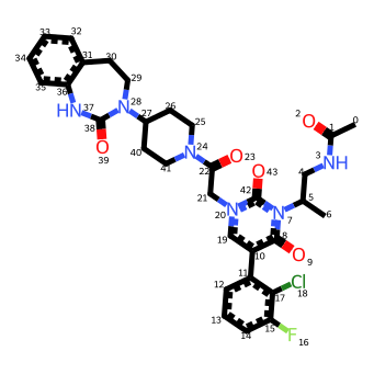 CC(=O)NCC(C)n1c(=O)c(-c2cccc(F)c2Cl)cn(CC(=O)N2CCC(N3CCc4ccccc4NC3=O)CC2)c1=O